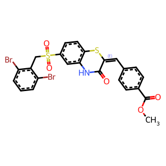 COC(=O)c1ccc(/C=C2/Sc3ccc(S(=O)(=O)Cc4c(Br)cccc4Br)cc3NC2=O)cc1